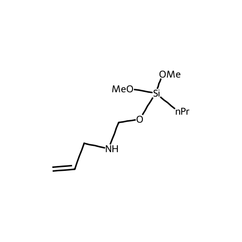 C=CCNCO[Si](CCC)(OC)OC